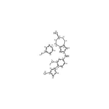 COc1cc(Nc2nc3n(n2)CC[C@H](O)C[C@H]3c2ccc(F)cc2)ccc1-n1cnc(Cl)c1